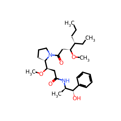 CCC[C@H](CC)[C@@H](CC(=O)N1CCC[C@H]1[C@@H](CC(=O)N[C@H](C)[C@@H](O)c1ccccc1)OC)OC